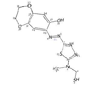 CN(CS)c1nnc(/N=N/c2cc3c(cc2O)OCCO3)s1